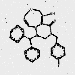 O=C1/C2=C(\O)COC/C=C\N2N(C(c2ccccc2)c2ccccc2)CN1Cc1ccc(F)cc1